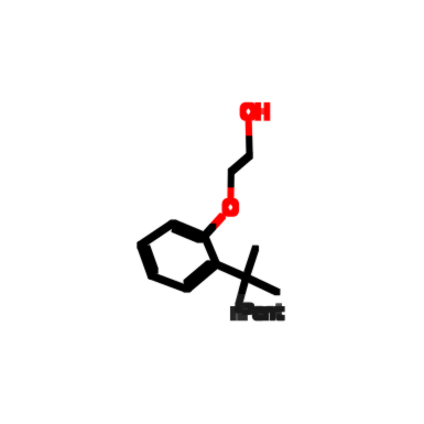 CCCCCC(C)(C)c1ccccc1OCCO